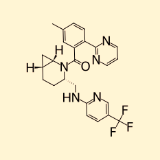 Cc1ccc(-c2ncccn2)c(C(=O)N2[C@H](CNc3ccc(C(F)(F)F)cn3)CC[C@@H]3C[C@@H]32)c1